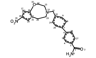 NC(=O)c1ccc(-c2ccc(CN3CCOc4nc([N+](=O)[O-])cn4CC3)cc2)cc1